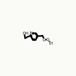 CCOOCc1ccc(CO)nc1